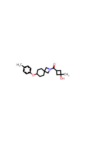 Cc1ccc(OC2CCC3(CC2)CN(C(=O)C2CC(C)(O)C2)C3)cc1